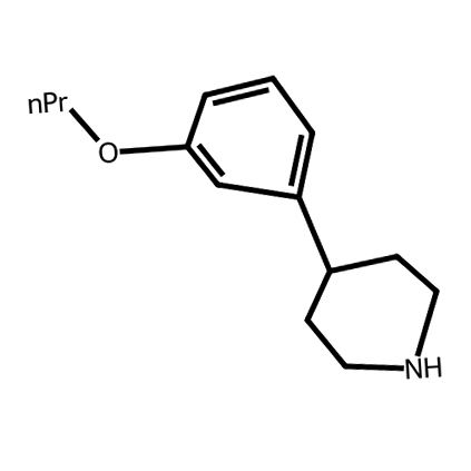 CCCOc1cccc(C2CCNCC2)c1